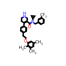 Cc1cc(C)c(C)c(OCCc2ccc(C3=C(C(=O)N(Cc4cccc(C(F)(F)F)c4)C4CC4)CNCC3)cc2)c1